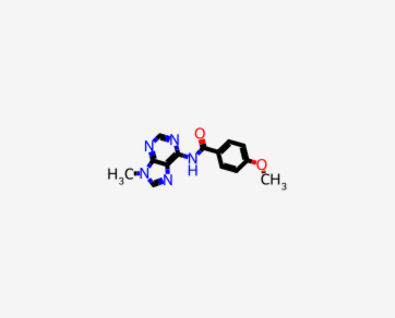 COc1ccc(C(=O)Nc2ncnc3c2ncn3C)cc1